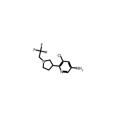 Nc1cnc(C2CCN(CC(F)(F)F)C2)c(Cl)c1